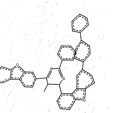 CC1C(c2ccc3c(c2)oc2ccccc23)=NC(c2ccccc2)=NC1c1cccc2oc3ccc(-c4ccc(-c5ccccc5)cc4)cc3c12